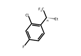 CC[C@H](c1ccc(F)cc1Cl)C(F)(F)F